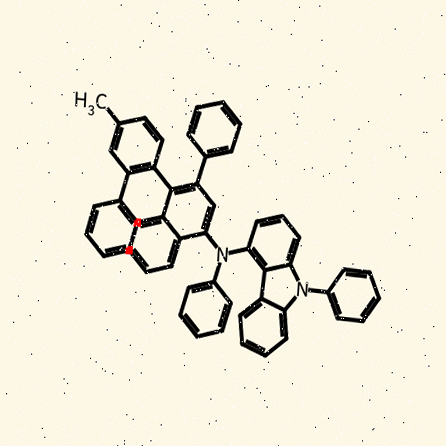 Cc1ccc(-c2c(-c3ccccc3)cc(N(c3ccccc3)c3cccc4c3c3ccccc3n4-c3ccccc3)c3ccccc23)c(-c2ccccc2)c1